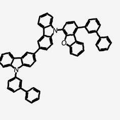 c1ccc(-c2cccc(-c3ccc(-n4c5ccccc5c5cc(-c6ccc7c(c6)c6ccccc6n7-c6cccc(-c7ccccc7)c6)ccc54)c4oc5ccccc5c34)c2)cc1